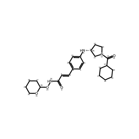 O=C(C=Cc1ccc(N[C@@H]2CCN(C(=O)C3CCCCC3)C2)cc1)NOC1CCCCO1